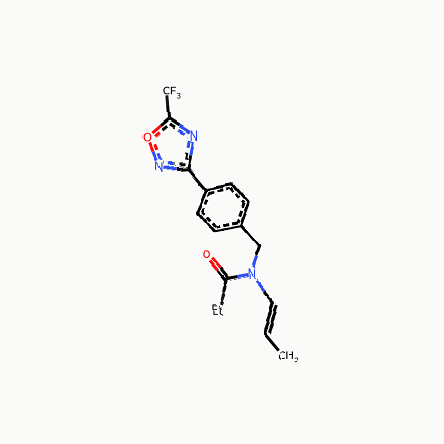 CC=CN(Cc1ccc(-c2noc(C(F)(F)F)n2)cc1)C(=O)CC